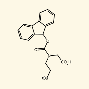 CC(C)(C)CCN(CC(=O)O)C(=O)OC1c2ccccc2-c2ccccc21